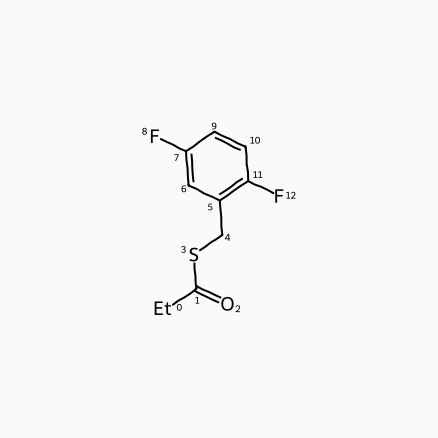 CCC(=O)SCc1cc(F)ccc1F